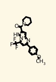 COc1ccc(-c2cc(C(F)(F)F)[n+]3[nH]c(C(=O)N4CCCCC4)cc3n2)cc1